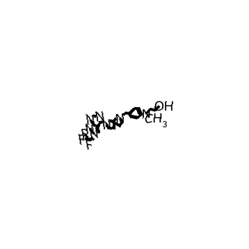 CN(CCO)c1ccc(CN2CCC3(CCN(c4ncnc5nn(CC(F)(F)F)cc45)C3)C2)cc1